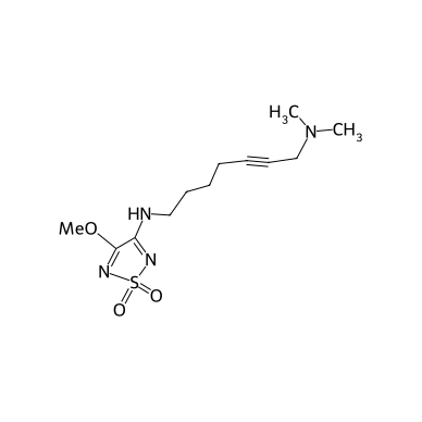 COC1=NS(=O)(=O)N=C1NCCCCC#CCN(C)C